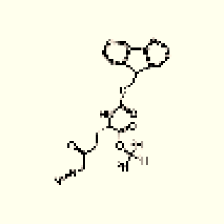 [2H]C([2H])([2H])OC(=O)[C@H](CCC(=O)C=[N+]=[N-])NC(=O)OCC1c2ccccc2-c2ccccc21